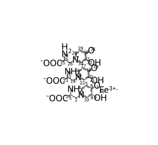 N[C@@H](Cn1ccc(=O)c(O)c1)C(=O)[O-].N[C@@H](Cn1ccc(=O)c(O)c1)C(=O)[O-].N[C@@H](Cn1ccc(=O)c(O)c1)C(=O)[O-].[Fe+3]